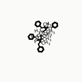 CC(C)(OC(C)(C)C1(C)C(C)(Cc2ccccc2)C1(F)Oc1ccccc1)C1(C)C(C)(Cc2ccccc2)C1(F)Oc1ccccc1